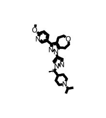 COc1ccc(-c2nn(-c3cnn([C@H](C)C4CCN(C(C)C)CC4)c3)c3c2CCOCC3)cn1